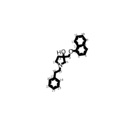 OC1(COc2cccc3ccccc23)CCN(CCc2ccccc2)C1